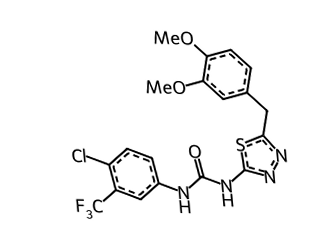 COc1ccc(Cc2nnc(NC(=O)Nc3ccc(Cl)c(C(F)(F)F)c3)s2)cc1OC